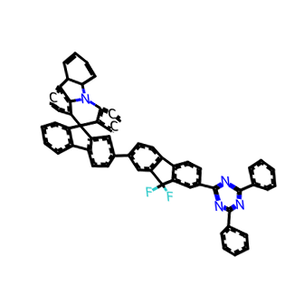 FC1(F)c2cc(-c3ccc4c(c3)C3(c5ccccc5-4)c4ccccc4N4c5c(cccc53)C3C=CC=CC34)ccc2-c2ccc(-c3nc(-c4ccccc4)nc(-c4ccccc4)n3)cc21